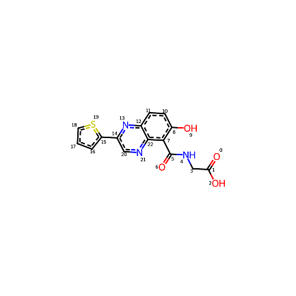 O=C(O)CNC(=O)c1c(O)ccc2nc(-c3cccs3)cnc12